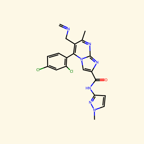 C=NCc1c(C)nc2nc(C(=O)Nc3ccn(C)n3)cn2c1-c1ccc(Cl)cc1Cl